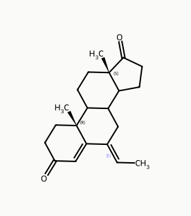 C/C=C1\CC2C(CC[C@]3(C)C(=O)CCC23)[C@@]2(C)CCC(=O)C=C12